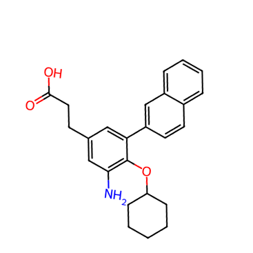 Nc1cc(CCC(=O)O)cc(-c2ccc3ccccc3c2)c1OC1CCCCC1